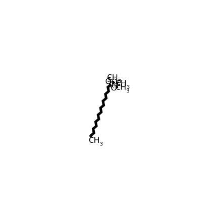 CCCCCCCCCCCCCCC[CH2][Zr]([O]C)([O]C)[O]C